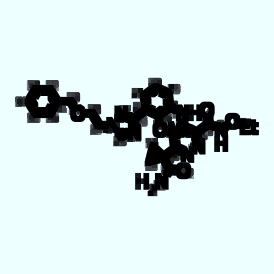 CCONC(=O)c1nnc(C2(C(N)=O)CC2)cc1Nc1cccc(-c2ncn(CCOCc3ccccc3)n2)c1OC